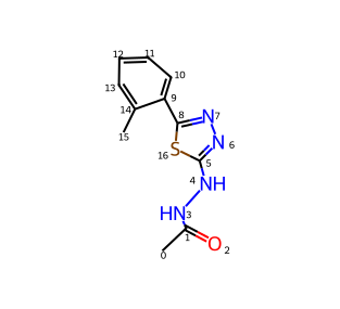 CC(=O)NNc1nnc(-c2ccccc2C)s1